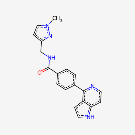 Cn1ccc(CNC(=O)c2ccc(-c3nccc4[nH]ccc34)cc2)n1